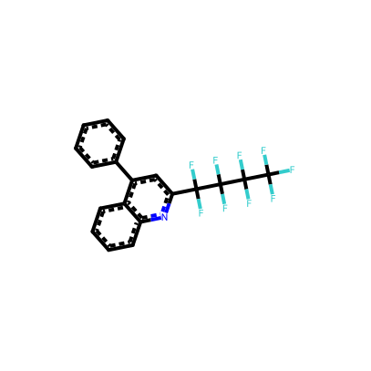 FC(F)(F)C(F)(F)C(F)(F)C(F)(F)c1cc(-c2ccccc2)c2ccccc2n1